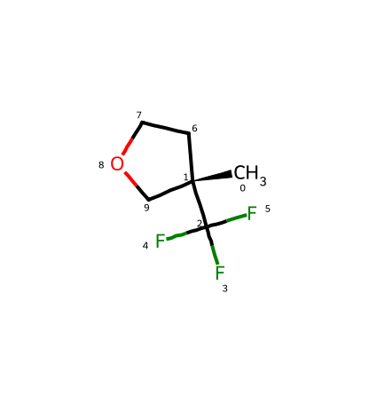 C[C@]1(C(F)(F)F)CCOC1